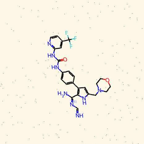 N=C/N=C(/N)c1[nH]c(CN2CCOCC2)cc1-c1ccc(NC(=O)Nc2cc(C(F)(F)F)ccn2)cc1